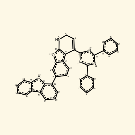 C1=C(c2nc(-c3ccccc3)nc(-c3ccccc3)n2)c2c(oc3cc(-c4cccc5c4oc4ccccc45)ccc23)NC1